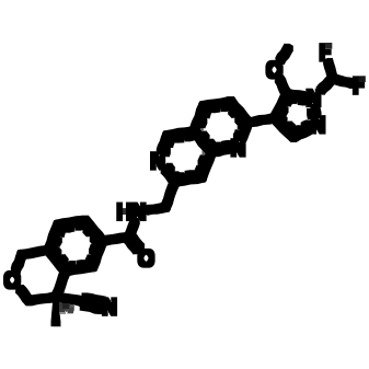 COc1c(-c2ccc3cnc(CNC(=O)c4ccc5c(c4)[C@](C)(C#N)COC5)cc3n2)cnn1C(F)F